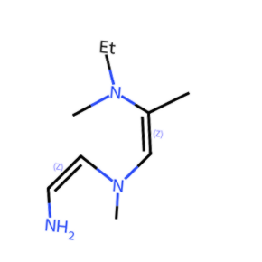 CCN(C)/C(C)=C\N(C)/C=C\N